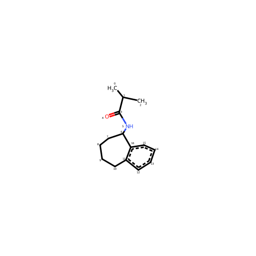 CC(C)C(=O)NC1CCCCc2ccccc21